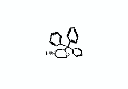 c1ccc(C(c2ccccc2)(c2ccccc2)C2CNCCO2)cc1